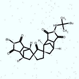 CCCCC(C)(C)BN1C(=O)C2C(C1=O)[C@H]1C[C@@H]2C[C@]12CC[C@]1(C[C@H]3C[C@@H]1C1C(=O)N(C(C)CC)C(=O)C13)C2=O